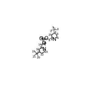 CC(C)(C)c1ccnc(CO[PH](=O)OCc2cc(C(C)(C)C)ccn2)c1